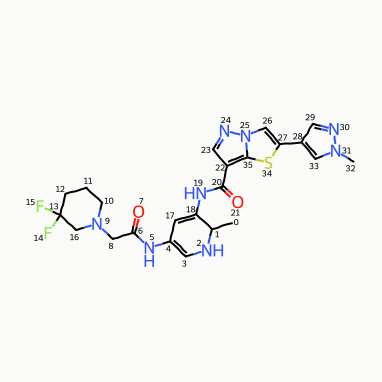 CC1NC=C(NC(=O)CN2CCCC(F)(F)C2)C=C1NC(=O)c1cnn2cc(-c3cnn(C)c3)sc12